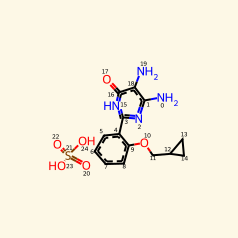 Nc1nc(-c2ccccc2OCC2CC2)[nH]c(=O)c1N.O=S(=O)(O)O